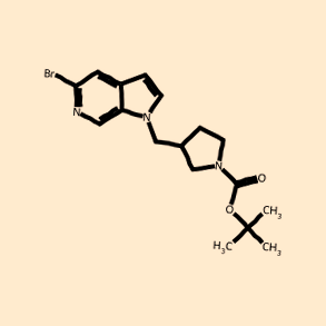 CC(C)(C)OC(=O)N1CCC(Cn2ccc3cc(Br)ncc32)C1